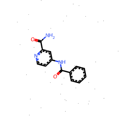 NC(=O)c1cc(NC(=O)c2ccccc2)ccn1